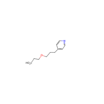 O=C(O)CCOCCCc1ccncc1